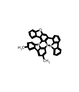 Cc1ccc2c(c1)c1cc(C)cc3c1n2-c1c2c(cc4oc5ccccc5c14)-c1cccc4c5ccccc5n(c14)B23